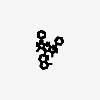 Cc1cccc2ccc(-c3c4c(C)nn(-c5ccccc5)c4nc4c3c(C)nn4-c3ccccc3)nc12